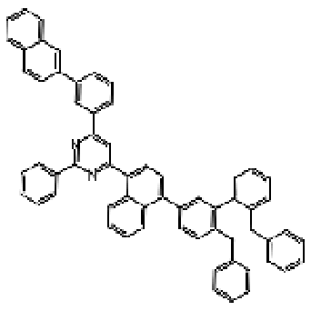 c1ccc(Cc2ccccc2-c2cc(-c3ccc(-c4cc(-c5cccc(-c6ccc7ccccc7c6)c5)nc(-c5ccccc5)n4)c4ccccc34)ccc2Cc2ccccc2)cc1